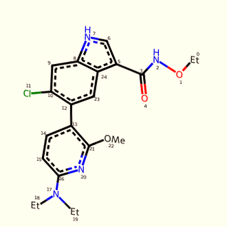 CCONC(=O)c1c[nH]c2cc(Cl)c(-c3ccc(N(CC)CC)nc3OC)cc12